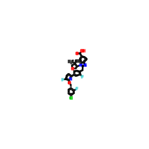 CC1(C)COCC1n1c(Cc2ccc(-c3ccc(F)c(OCc4ccc(Cl)cc4F)n3)cc2F)nc2ccc(C(=O)O)cc21